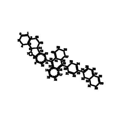 C1=CC2=C(CC1)C1Oc3ccc(C4=c5ccccc5=C(C5C=CC(C6=CC=C7C=CCCC7C6)=CC5)C5CCCC=C45)cc3C1CC2